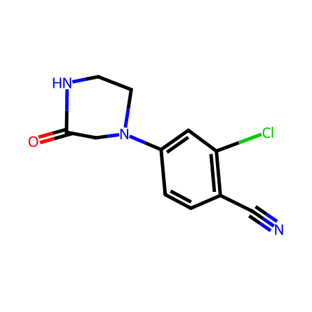 N#Cc1ccc(N2CCNC(=O)C2)cc1Cl